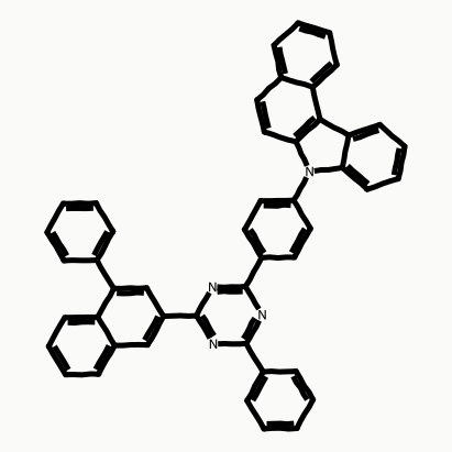 c1ccc(-c2nc(-c3ccc(-n4c5ccccc5c5c6ccccc6ccc54)cc3)nc(-c3cc(-c4ccccc4)c4ccccc4c3)n2)cc1